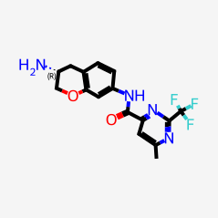 Cc1cc(C(=O)Nc2ccc3c(c2)OC[C@H](N)C3)nc(C(F)(F)F)n1